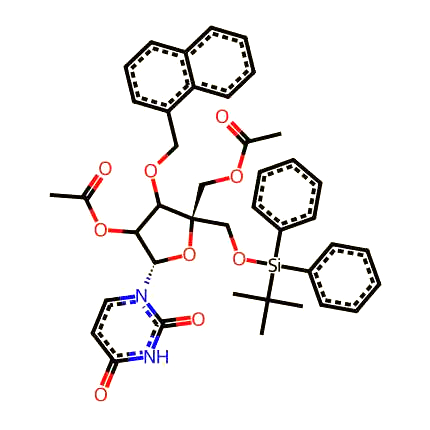 CC(=O)OC[C@@]1(CO[Si](c2ccccc2)(c2ccccc2)C(C)(C)C)O[C@H](n2ccc(=O)[nH]c2=O)C(OC(C)=O)C1OCc1cccc2ccccc12